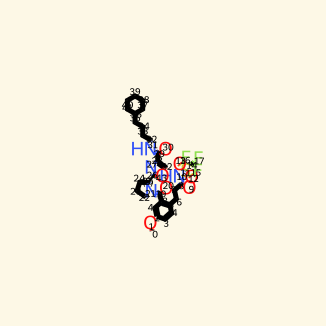 COc1ccc(CCC(=O)NS(=O)(=O)C(F)(F)F)c(C(=O)N2CCC[C@H]2c2nc(C(=O)NCCCCC3CCCCC3)co2)c1